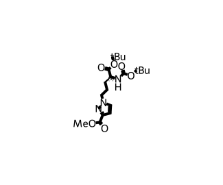 COC(=O)c1ccn(CCC[C@H](NC(=O)OC(C)(C)C)C(=O)OC(C)(C)C)n1